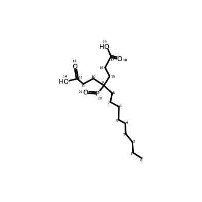 CCCCCCCCCC(CCC(=O)O)(CCC(=O)O)P=O